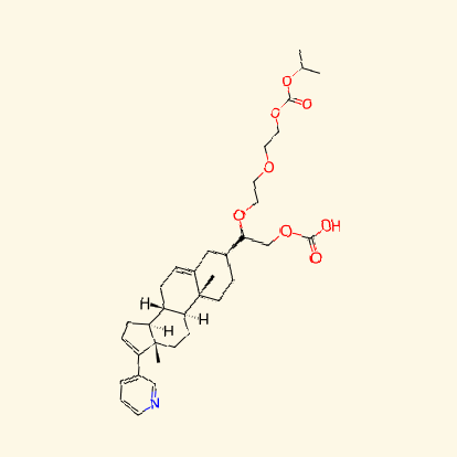 CC(C)OC(=O)OCCOCCOC(COC(=O)O)[C@H]1CC[C@@]2(C)C(=CC[C@@H]3[C@@H]2CC[C@]2(C)C(c4cccnc4)=CC[C@@H]32)C1